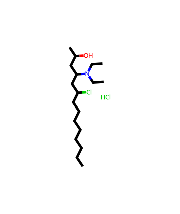 CCCCCCCCC(Cl)CC(CC(C)O)N(CC)CC.Cl